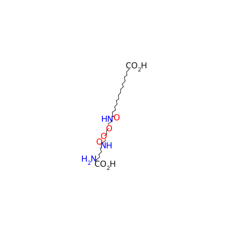 N[C@@H](CCCCNC(=O)COCCOCCNC(=O)CCCCCCCCCCCCCCCCC(=O)O)C(=O)O